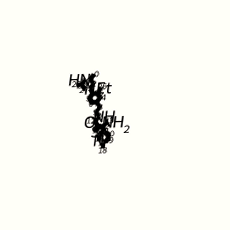 C=C1CN(c2ccc(CCNC(=O)c3sc4nc(C)ccc4c3N)cc2CC)CC(C)N1